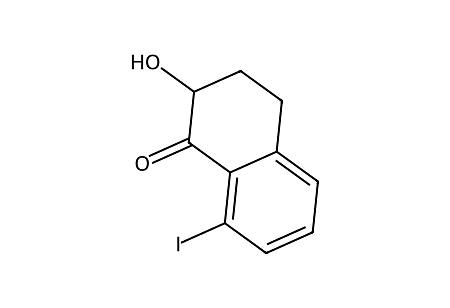 O=C1c2c(I)cccc2CCC1O